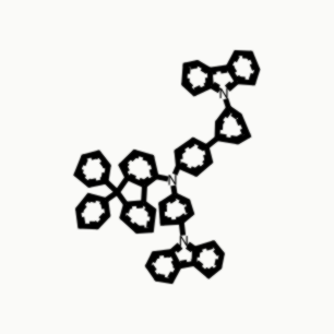 c1ccc(C2(c3ccccc3)c3ccccc3-c3c(N(c4ccc(-c5cccc(-n6c7ccccc7c7ccccc76)c5)cc4)c4ccc(-n5c6ccccc6c6ccccc65)cc4)cccc32)cc1